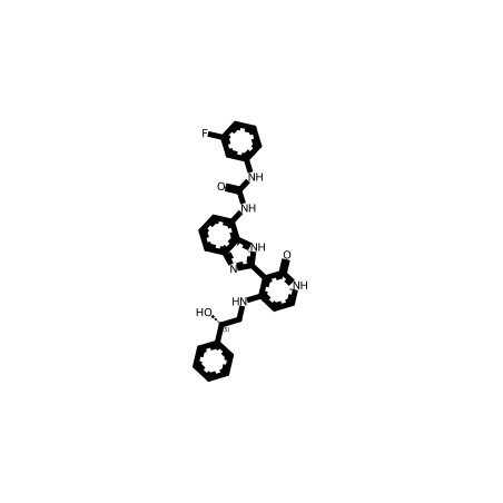 O=C(Nc1cccc(F)c1)Nc1cccc2nc(-c3c(NC[C@@H](O)c4ccccc4)cc[nH]c3=O)[nH]c12